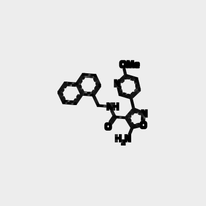 COc1ccc(-c2noc(N)c2C(=O)NCc2cccc3ccccc23)cn1